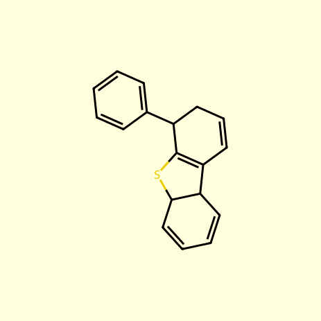 C1=CC2SC3=C(C=CCC3c3ccccc3)C2C=C1